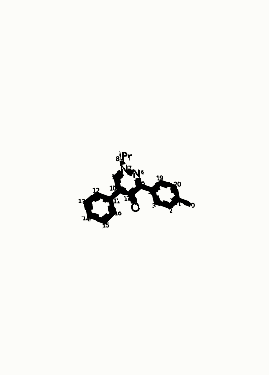 Cc1ccc(-c2nn(C(C)C)cc(-c3ccccc3)c2=O)cc1